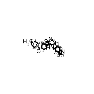 CN1CCN(C(=O)[C@H]2CCc3c(sc4ncnc(Nc5cc6ccnn6cc5Cl)c34)C2)CC1